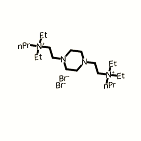 CCC[N+](CC)(CC)CCN1CCN(CC[N+](CC)(CC)CCC)CC1.[Br-].[Br-]